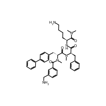 CN(C)C(=O)[C@H](CCCCN)NC(=O)[C@@H](Cc1ccccc1)N(C)C(=O)[C@@H](Cc1ccc(-c2ccccc2)cc1)N(C)C(=O)c1cccc(CN)c1